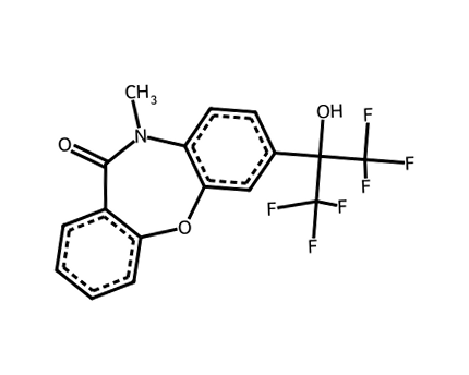 CN1C(=O)c2ccccc2Oc2cc(C(O)(C(F)(F)F)C(F)(F)F)ccc21